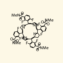 CNS(=O)(=O)c1ccc(F)c(-c2c3nc(c(-c4c(F)ccc(S(=O)(=O)NC)c4F)c4ccc([nH]4)c(-c4c(F)ccc(S(=O)(=O)NC)c4F)c4nc(c(-c5c(F)ccc(S(=O)(=O)NC)c5F)c5ccc2[nH]5)CC4)CC3)c1F